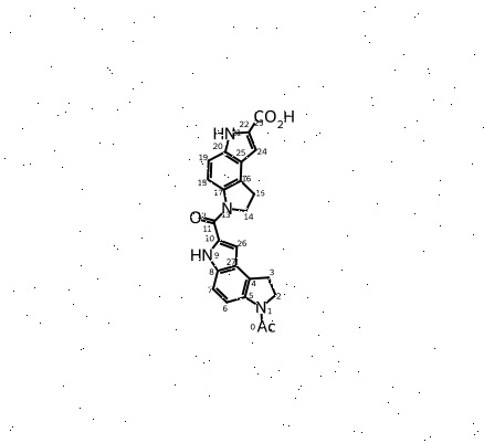 CC(=O)N1CCc2c1ccc1[nH]c(C(=O)N3CCc4c3ccc3[nH]c(C(=O)O)cc43)cc21